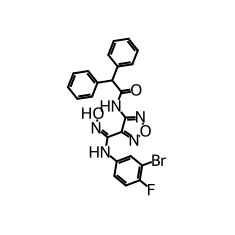 O=C(Nc1nonc1/C(=N\O)Nc1ccc(F)c(Br)c1)C(c1ccccc1)c1ccccc1